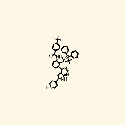 CC(C)(C)c1ccc(C(=O)Nc2cccc(-c3ncnc4[nH]c(C5=CCNCC5)cc34)c2CO[Si](c2ccccc2)(c2ccccc2)C(C)(C)C)cc1